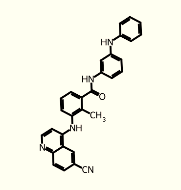 Cc1c(Nc2ccnc3ccc(C#N)cc23)cccc1C(=O)Nc1cccc(Nc2ccccc2)c1